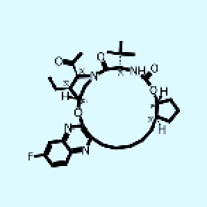 CC[C@@H]1[C@@H]2CN(C(=O)[C@H](C(C)(C)C)NC(=O)O[C@@H]3CCC[C@H]3CCCCCc3nc4ccc(F)cc4nc3O2)[C@@H]1C(C)=O